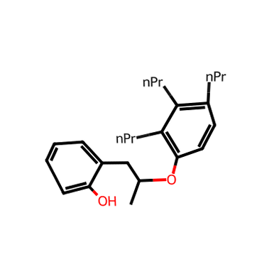 CCCc1ccc(OC(C)Cc2ccccc2O)c(CCC)c1CCC